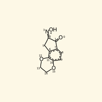 O=C1C(=NO)Cc2c1ccc1c2OCCO1